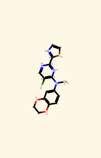 CN(c1ccc2c(c1)OCCO2)c1nc(-c2nccs2)ncc1F